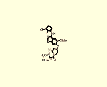 COc1cc2c(Nc3cccc(Cl)c3F)ncnc2cc1OC1CCN(C(=O)[C@H](CO)N(C)C)CC1